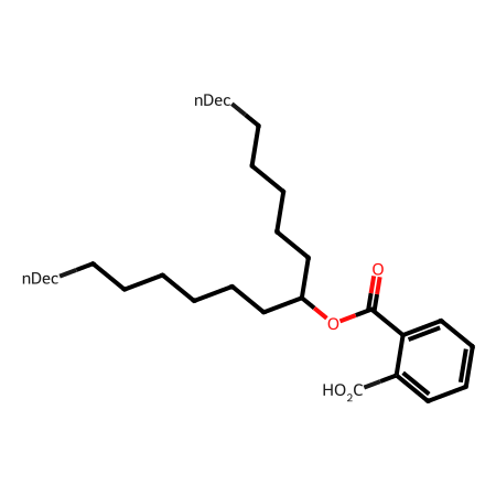 CCCCCCCCCCCCCCCCC(CCCCCCCCCCCCCCC)OC(=O)c1ccccc1C(=O)O